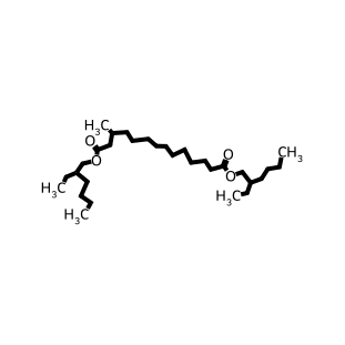 CCCCC(CC)COC(=O)CCCCCCCCCCC(C)CC(=O)OCC(CC)CCCC